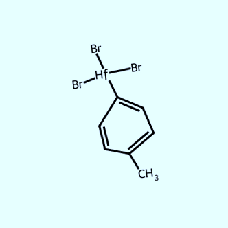 Cc1cc[c]([Hf]([Br])([Br])[Br])cc1